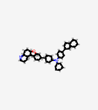 c1ccc(N(c2ccc(-c3ccc4ccccc4c3)cc2)c2ccc(-c3ccc4c(c3)oc3ccc5ncccc5c34)cc2)cc1